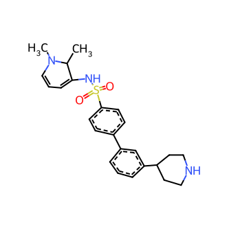 CC1C(NS(=O)(=O)c2ccc(-c3cccc(C4CCNCC4)c3)cc2)=CC=CN1C